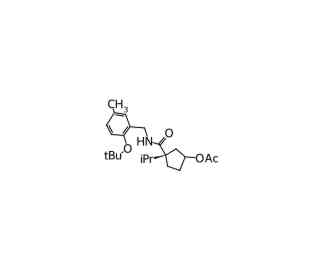 CC(=O)OC1CC[C@@](C(=O)NCc2cc(C)ccc2OC(C)(C)C)(C(C)C)C1